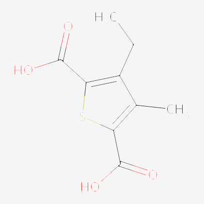 CCc1c(C(=O)O)sc(C(=O)O)c1C